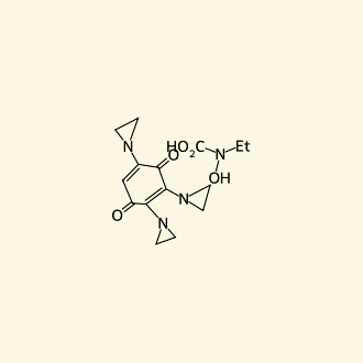 CCN(O)C(=O)O.O=C1C=C(N2CC2)C(=O)C(N2CC2)=C1N1CC1